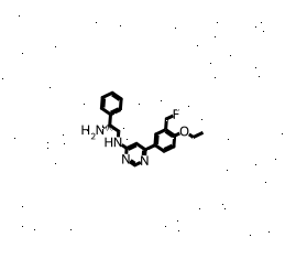 CCOc1ccc(-c2cc(NC[C@H](N)c3ccccc3)ncn2)cc1CF